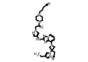 CCc1cnn(C2(CC#N)CN(c3cccn4nc(Nc5cnn(CC(=O)N6CCN(CCCC#N)CC6)c5)nc34)C2)c1